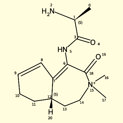 C[C@H](N)C(=O)NC1=C2C=CCC[C@H]2CC[N+](C)(C)C1=O